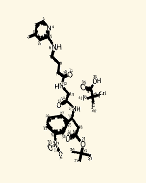 Cc1ccnc(NCCCC(=O)NCC(=O)NC(CC(=O)OC(C)(C)C)c2cccc([N+](=O)[O-])c2)c1.O=C(O)C(F)(F)F